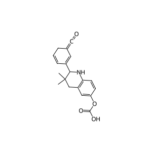 CC1(C)Cc2cc(OC(=O)O)ccc2NC1C1=CC(=C=O)CC=C1